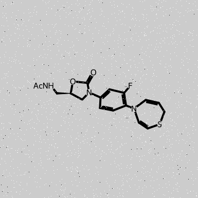 CC(=O)NC[C@@H]1CN(c2ccc(N3C=CCSC=C3)c(F)c2)C(=O)O1